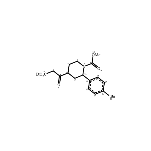 CCOC(=O)CC(=O)C1CCN(C(=O)OC)C(c2ccc(C(C)(C)C)cc2)C1